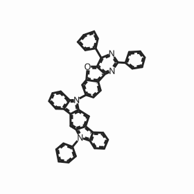 c1ccc(-c2nc(-c3ccccc3)c3oc4cc(-n5c6ccccc6c6cc7c(cc65)c5ccccc5n7-c5ccccc5)ccc4c3n2)cc1